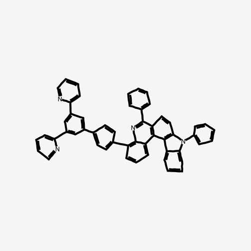 c1ccc(-c2nc3c(-c4ccc(-c5cc(-c6ccccn6)cc(-c6ccccn6)c5)cc4)cccc3c3c2ccc2c3c3ccccc3n2-c2ccccc2)cc1